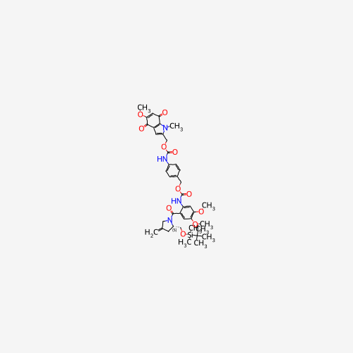 C=C1C[C@@H](CO[Si](C)(C)C(C)(C)C)N(C(=O)c2cc(OC)c(OC)cc2NC(=O)OCc2ccc(NC(=O)OCc3cc4c(n3C)C(=O)C=C(OC)C4=O)cc2)C1